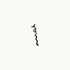 C=CCCCCSOSC(C)C